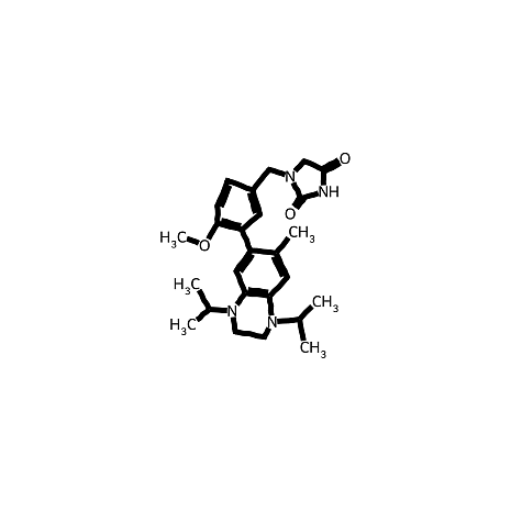 COc1ccc(CN2CC(=O)NC2=O)cc1-c1cc2c(cc1C)N(C(C)C)CCN2C(C)C